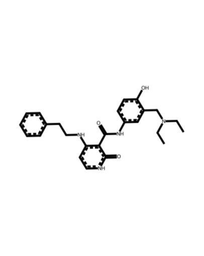 CCN(CC)Cc1cc(NC(=O)c2c(NCCc3ccccc3)cc[nH]c2=O)ccc1O